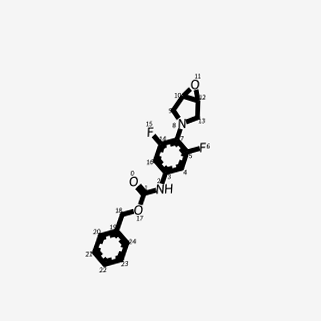 O=C(Nc1cc(F)c(N2CC3OC3C2)c(F)c1)OCc1ccccc1